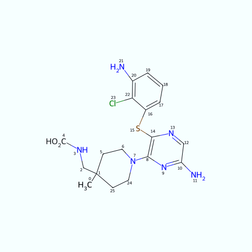 CC1(CNC(=O)O)CCN(c2nc(N)cnc2Sc2cccc(N)c2Cl)CC1